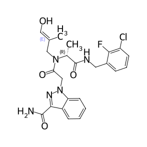 C/C(=C\O)CN(C(=O)Cn1nc(C(N)=O)c2ccccc21)[C@H](C)C(=O)NCc1cccc(Cl)c1F